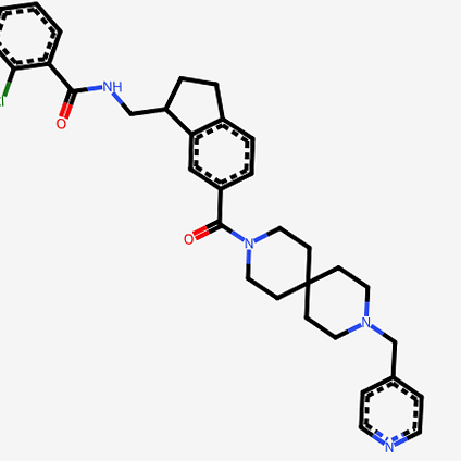 O=C(NCC1CCc2ccc(C(=O)N3CCC4(CCN(Cc5ccncc5)CC4)CC3)cc21)c1ccccc1Cl